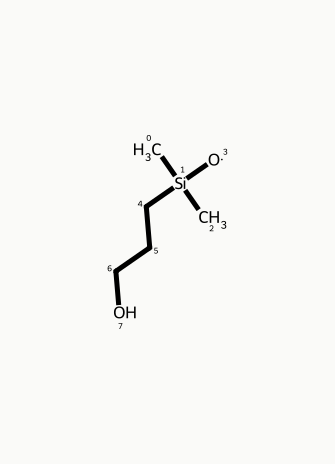 C[Si](C)([O])CCCO